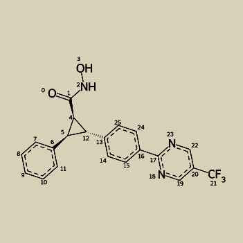 O=C(NO)[C@@H]1[C@H](c2ccccc2)[C@H]1c1ccc(-c2ncc(C(F)(F)F)cn2)cc1